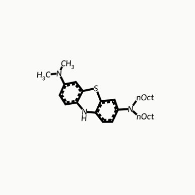 CCCCCCCCN(CCCCCCCC)c1ccc2c(c1)Sc1cc(N(C)C)ccc1N2